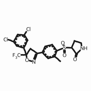 Cc1cc(C2=NOC(c3cc(Cl)cc(Cl)c3)(C(F)(F)F)C2)ccc1S(=O)(=O)C1CCNC1=O